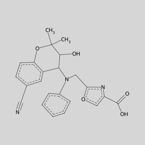 CC1(C)Oc2ccc(C#N)cc2C(N(Cc2nc(C(=O)O)co2)c2ccccc2)C1O